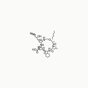 CCCCCC[C@H]1OC[C@@H](C)NC(=O)[C@H](COCC(O)CN=[N+]=[N-])NC(=O)[C@H](CNC(=O)O)NC(=O)[C@H](C2CCCCC2)NC(=O)[C@H](CC(C)C)N(C)C(=O)[C@@H]1C